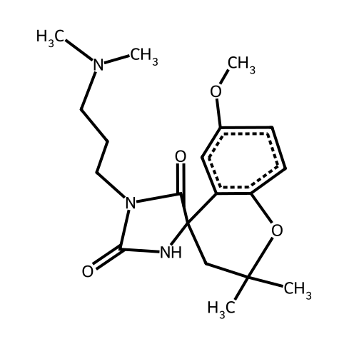 COc1ccc2c(c1)C1(CC(C)(C)O2)NC(=O)N(CCCN(C)C)C1=O